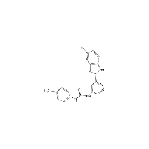 Cc1ccc(NC(=O)Nc2cccc(C3Nc4ncc(Cl)cc4O3)c2)cc1